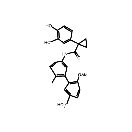 COc1ccc(C(=O)O)cc1-c1cc(NC(=O)C2(c3ccc(O)c(O)c3)CC2)ccc1C